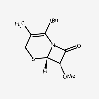 CO[C@H]1C(=O)N2C(C(C)(C)C)=C(C)CS[C@@H]12